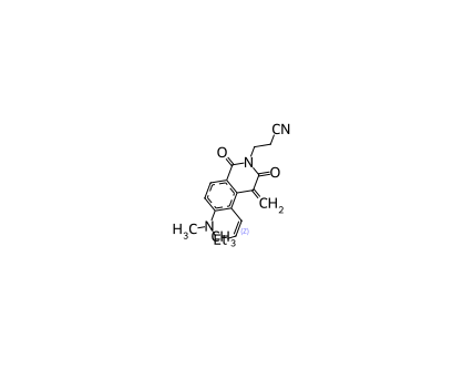 C=C1C(=O)N(CCC#N)C(=O)c2ccc(N(C)C)c(/C=C\CC)c21